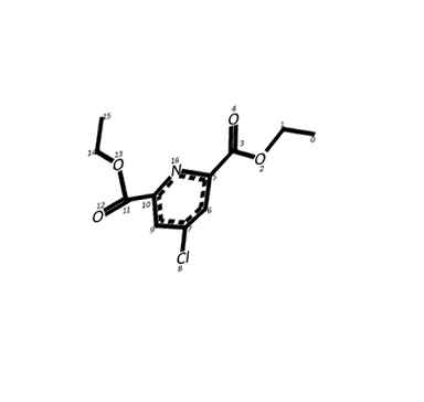 CCOC(=O)c1cc(Cl)cc(C(=O)OCC)n1